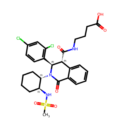 CS(=O)(=O)N[C@H]1CCCC[C@@H]1N1C(=O)c2ccccc2[C@@H](C(=O)NCCCC(=O)O)[C@@H]1c1ccc(Cl)cc1Cl